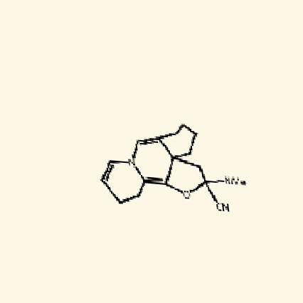 CNC1(C#N)CC23CCCCC2=CN2C=CCCC2=C3O1